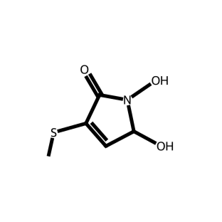 CSC1=CC(O)N(O)C1=O